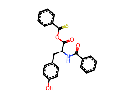 O=C(N[C@@H](Cc1ccc(O)cc1)C(=O)OC(=S)c1ccccc1)c1ccccc1